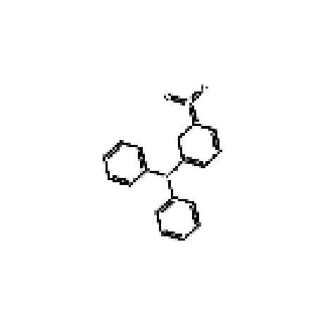 O=S(=O)=C1C=CC=C(P(c2ccccc2)c2ccccc2)C1